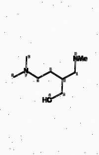 CNCC(CO)CCN(C)C